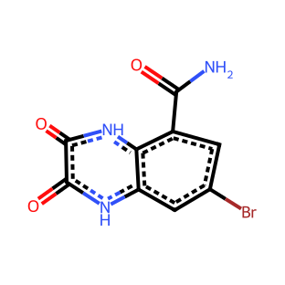 NC(=O)c1cc(Br)cc2[nH]c(=O)c(=O)[nH]c12